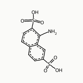 Nc1c(S(=O)(=O)O)[c]cc2ccc(S(=O)(=O)O)cc12